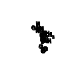 Cc1ccc(NC(=O)C=Cc2cccc([N+](=O)[O-])c2)cc1C(=O)Nc1cnc2[nH]c(-c3ccccc3)nc2c1